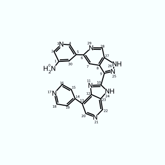 Nc1cncc(-c2cc3c(-c4nc5c(-c6ccncc6)cncc5[nH]4)n[nH]c3cn2)c1